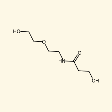 O=C(CCO)NCCOCCO